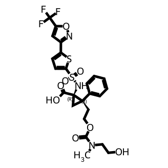 CN(CCO)C(=O)OCC[C@@]1(c2ccccc2)C[C@]1(NS(=O)(=O)c1ccc(-c2cc(C(F)(F)F)on2)s1)C(=O)O